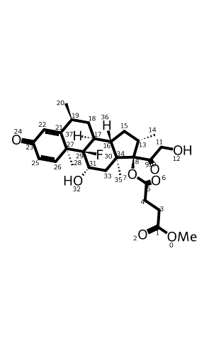 COC(=O)CCC(=O)O[C@]1(C(=O)CO)[C@@H](C)C[C@H]2[C@@H]3C[C@H](C)C4=CC(=O)C=C[C@]4(C)[C@@]3(F)[C@@H](O)C[C@@]21C